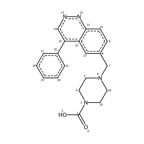 O=C(O)N1CCN(Cc2ccc3nncc(-c4ccccc4)c3c2)CC1